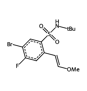 CO/C=C/c1cc(F)c(Br)cc1S(=O)(=O)NC(C)(C)C